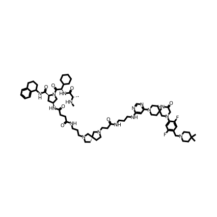 CN[C@@H](C)C(=O)N[C@H](C(=O)N1C[C@@H](NC(=O)CCC(=O)NCCCN2CC[C@]3(CCN(CCC(=O)NCCCNc4cc(N5CCC6(CC5)CN(c5cc(F)c(CN7CCC(C)(C)CC7)cc5F)CC(=O)N6)ncn4)C3)C2)C[C@H]1C(=O)NC1CCCc2ccccc21)C1CCCCC1